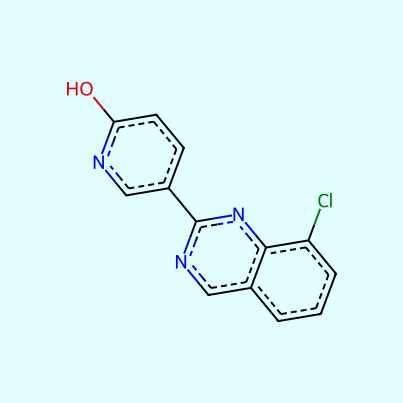 Oc1ccc(-c2ncc3cccc(Cl)c3n2)cn1